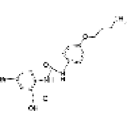 CCCCOc1ccc(NC(=O)Nc2ccc(Br)cc2C(=O)O)cc1